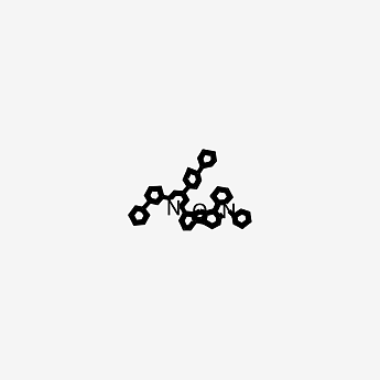 c1ccc(-c2ccc(-c3cc(-c4cccc(-c5ccccc5)c4)nc(-c4cccc5c4oc4c5ccc5c4c4ccccc4n5-c4ccccc4)c3)cc2)cc1